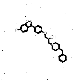 OC(COc1ccc(-c2noc3cc(F)ccc23)cc1)CN1CCC(Cc2ccccc2)CC1